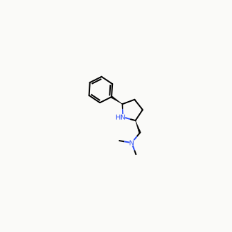 CN(C)C[C@@H]1CC[C@H](c2ccccc2)N1